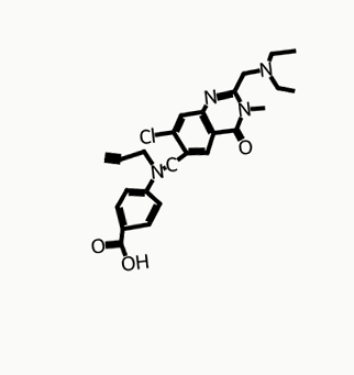 C#CCN(Cc1cc2c(=O)n(C)c(CN(CC)CC)nc2cc1Cl)c1ccc(C(=O)O)cc1